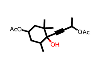 CC(=O)OC(C)C#CC1(O)C(C)CC(OC(C)=O)CC1(C)C